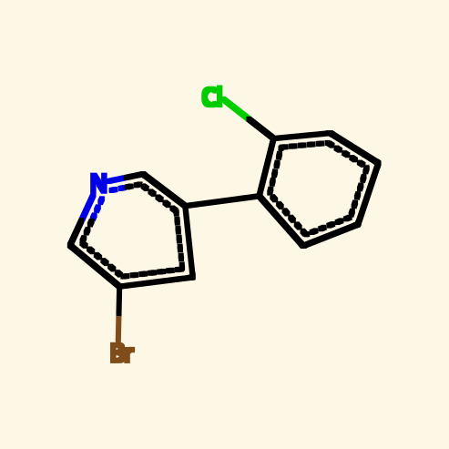 Clc1ccccc1-c1cncc(Br)c1